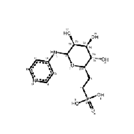 O=P(O)(O)CC[C@H]1OC(Nc2ccncc2)[C@@H](O)[C@@H](O)[C@@H]1O